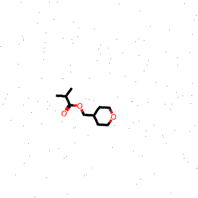 CC(C)C(=O)OCC1CCOCC1